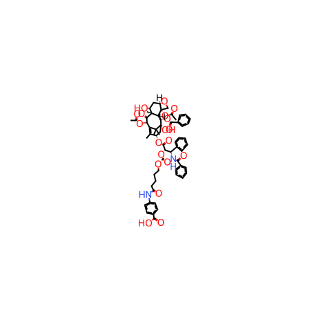 CC(=O)O[C@H]1C(=O)[C@@]2(C)[C@H]([C@H](OC(=O)c3ccccc3)[C@]3(O)C[C@H](OC(=O)[C@H](OC(=O)OCCCCC(=O)Nc4ccc(C(=O)O)cc4)[C@@H](NC(=O)c4ccccc4)c4ccccc4)C(C)=C1C3(C)C)[C@]1(OC(C)=O)CO[C@@H]1C[C@@H]2O